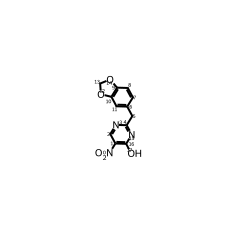 O=[N+]([O-])c1cnc(Cc2ccc3c(c2)OCO3)nc1O